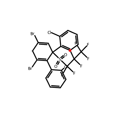 O=S(=O)(C1(c2ccccc2Cl)C=C(Br)[CH]C(Br)=C1c1ccccc1Cl)C(F)(F)C(F)(F)C(F)(F)F